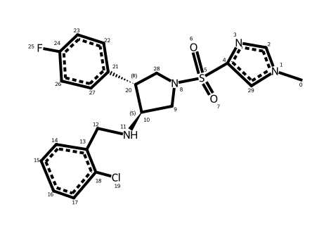 Cn1cnc(S(=O)(=O)N2C[C@@H](NCc3ccccc3Cl)[C@H](c3ccc(F)cc3)C2)c1